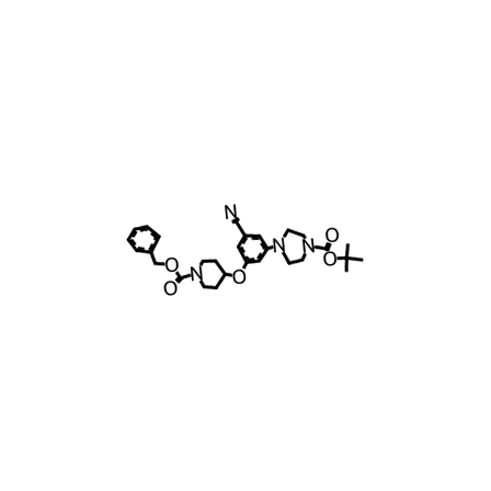 CC(C)(C)OC(=O)N1CCN(c2cc(C#N)cc(OC3CCN(C(=O)OCc4ccccc4)CC3)c2)CC1